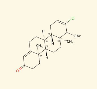 CC(=O)OC1C(Cl)=CC[C@H]2[C@@H]3CCC4=CC(=O)CC[C@]4(C)[C@H]3CC[C@]12C